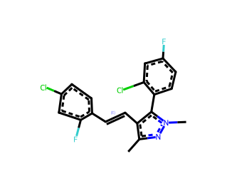 Cc1nn(C)c(-c2ccc(F)cc2Cl)c1/C=C/c1ccc(Cl)cc1F